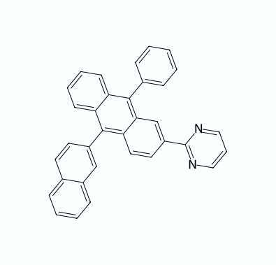 c1ccc(-c2c3ccccc3c(-c3ccc4ccccc4c3)c3ccc(-c4ncccn4)cc23)cc1